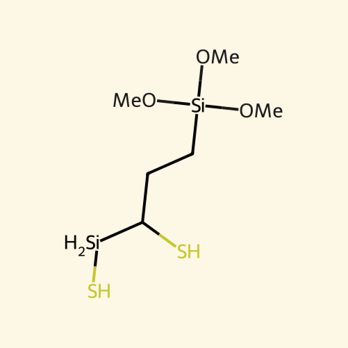 CO[Si](CCC(S)[SiH2]S)(OC)OC